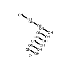 O=NO.O=NO.O=NO.O=NO.O=NO.O=NO.O=NO.O=NO.[Zr]